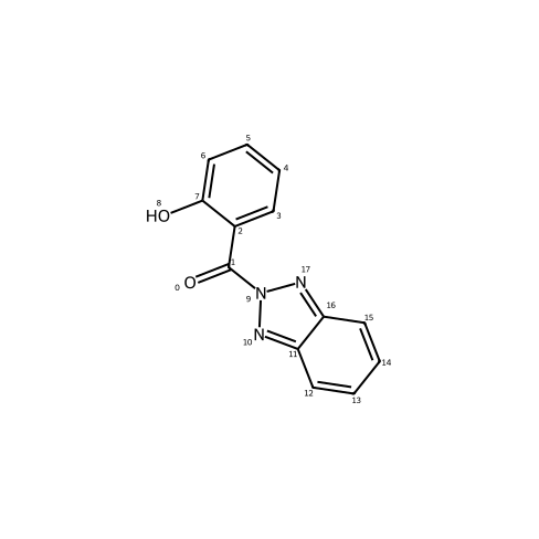 O=C(c1ccccc1O)n1nc2ccccc2n1